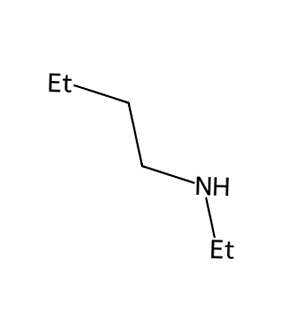 [CH2]CCCNC[CH2]